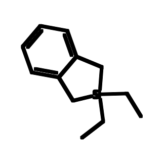 CC[Si]1(CC)Cc2ccccc2C1